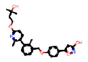 Cc1nc(OCCC(C)(C)O)ccc1-c1cccc(COc2ccc(-c3cc(O)no3)cc2)c1C